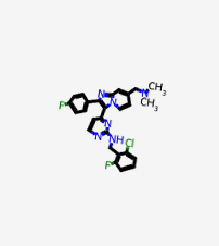 CN(C)Cc1ccn2c(-c3ccnc(NCc4c(F)cccc4Cl)n3)c(-c3ccc(F)cc3)nc2c1